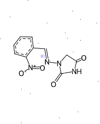 O=C1CN(/N=C/c2ccccc2[N+](=O)[O-])C(=O)N1